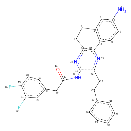 Nc1ccc2c(c1)CCc1nc(NC(=O)Cc3ccc(F)c(F)c3)c(CCc3ccccc3)nc1-2